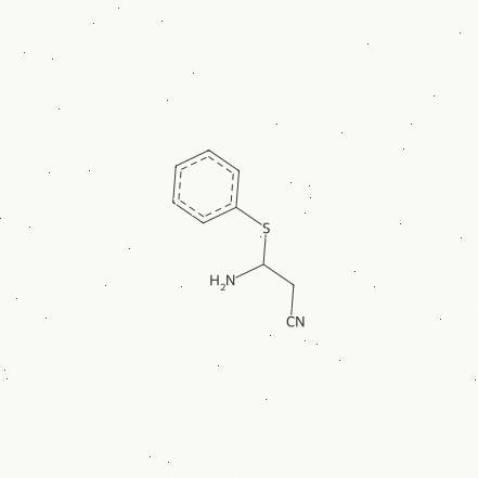 N#CCC(N)Sc1ccccc1